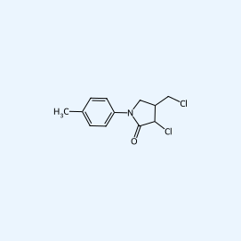 Cc1ccc(N2CC(CCl)C(Cl)C2=O)cc1